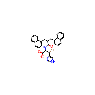 O=C(NC(C(=O)O)C(S)c1c[nH]cn1)C(Cc1cccc2ccccc12)Cc1cccc2ccccc12